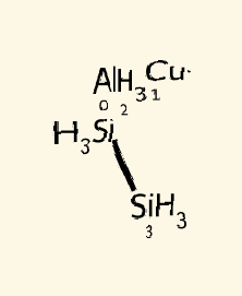 [AlH3].[Cu].[SiH3][SiH3]